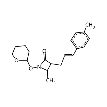 Cc1ccc(C=CCC2C(=O)N(OC3CCCCO3)C2C)cc1